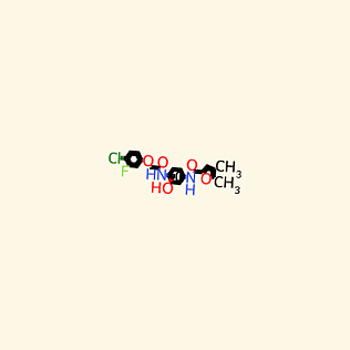 Cc1cc(C(=O)NC23CCC(NC(=O)COc4ccc(Cl)c(F)c4)(CC2)C(O)C3)oc1C